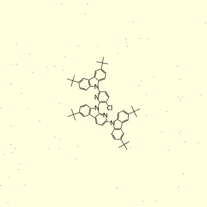 CC(C)(C)c1ccc2c(c1)c1cc(C(C)(C)C)ccc1n2-c1ccc(Cl)c(-n2c3ccc(C(C)(C)C)cc3c3ccc(-n4c5ccc(C(C)(C)C)cc5c5cc(C(C)(C)C)ccc54)nc32)n1